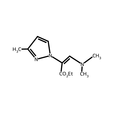 CCOC(=O)/C(=C\N(C)C)n1ccc(C)n1